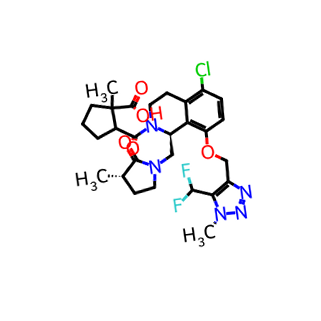 C[C@H]1CCN(C[C@@H]2c3c(OCc4nnn(C)c4C(F)F)ccc(Cl)c3CCN2C(=O)C2CCCC2(C)C(=O)O)C1=O